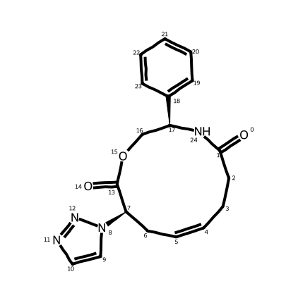 O=C1CCC=CC[C@@H](n2ccnn2)C(=O)OC[C@@H](c2ccccc2)N1